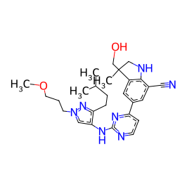 COCCCn1cc(Nc2nccc(-c3cc(C#N)c4c(c3)C(C)(CO)CN4)n2)c(CCC(C)C)n1